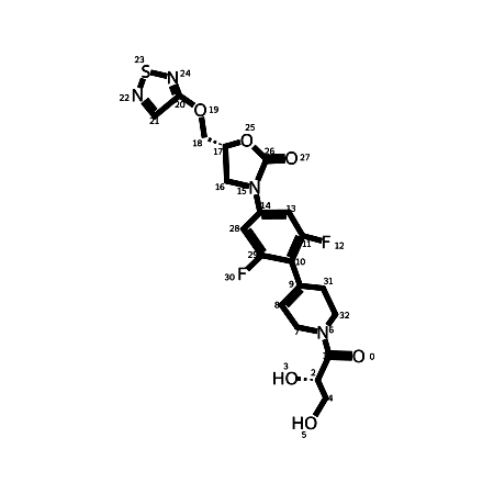 O=C([C@@H](O)CO)N1CC=C(c2c(F)cc(N3C[C@H](COc4cnsn4)OC3=O)cc2F)CC1